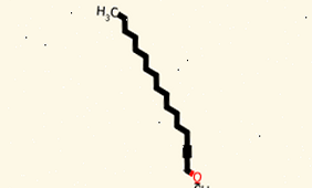 CCCCCCCCCCCCCCC#C[CH]OC